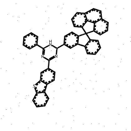 c1ccc(C2=NC(c3ccc4c(c3)sc3ccccc34)=NC(c3ccc4c(c3)-c3ccccc3C43c4cccc5ccc6cccc3c6c45)N2)cc1